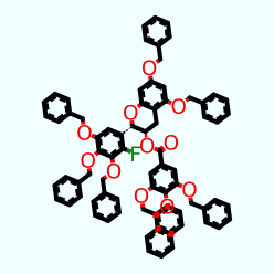 O=C(O[C@@H]1Cc2c(OCc3ccccc3)cc(OCc3ccccc3)cc2O[C@H]1c1cc(OCc2ccccc2)c(OCc2ccccc2)c(OCc2ccccc2)c1F)c1cc(OCc2ccccc2)c(OCc2ccccc2)c(OCc2ccccc2)c1